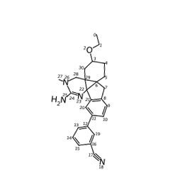 CCOC1CCC23Cc4ccc(-c5cccc(C#N)c5)cc4C24N=C(N)N(C)CC34C1